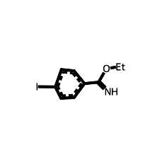 CCOC(=N)c1ccc(I)cc1